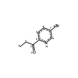 CCC(=O)c1ccc(Br)cn1